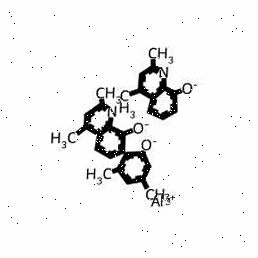 Cc1cc(C)c2cccc([O-])c2n1.Cc1cc(C)c2cccc([O-])c2n1.Cc1cc(C)cc([O-])c1.[Al+3]